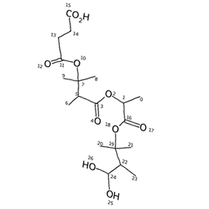 CC(OC(=O)C(C)C(C)(C)OC(=O)CCC(=O)O)C(=O)OC(C)(C)C(C)C(O)O